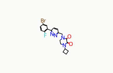 O=C1C(=O)N(C2CCC2)CCN1Cc1ccc(-c2cc(Br)ccc2F)nn1